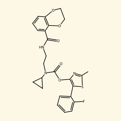 Cc1nc(OC(=O)N(CCNC(=O)c2cccc3c2OCCO3)C2CC2)c(-c2ccccc2F)s1